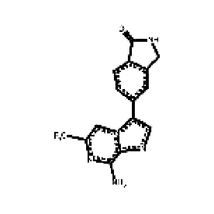 Nc1nc(C(F)(F)F)cn2c(-c3ccc4c(c3)CNC4=O)cnc12